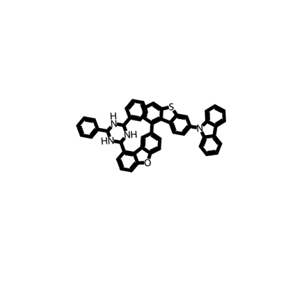 c1ccc(C2NC(c3ccccc3)NC(c3cccc4oc5ccc(-c6cccc7sc8cc(-n9c%10ccccc%10c%10ccccc%109)ccc8c67)cc5c34)N2)cc1